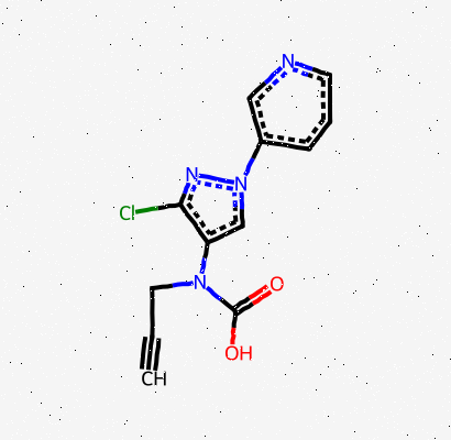 C#CCN(C(=O)O)c1cn(-c2cccnc2)nc1Cl